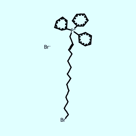 BrCCCCCCCCCCCC=CC[P+](c1ccccc1)(c1ccccc1)c1ccccc1.[Br-]